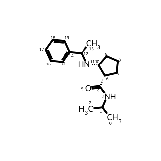 CC(C)NC(=O)[C@H]1CCC[C@H]1N[C@H](C)c1ccccc1